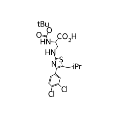 CC(C)Cc1sc(NCC(NC(=O)OC(C)(C)C)C(=O)O)nc1-c1ccc(Cl)c(Cl)c1